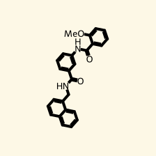 COc1ccccc1C(=O)Nc1cccc(C(=O)NCc2cccc3ccccc23)c1